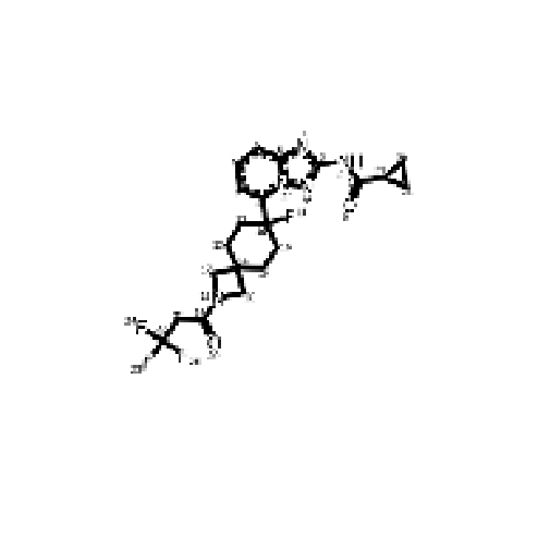 O=C(Nc1nc2cccc(C3(F)CCC4(CC3)CN(C(=O)CC(F)(F)F)C4)n2n1)C1CC1